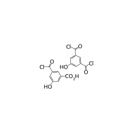 O=C(Cl)c1cc(O)cc(C(=O)Cl)c1.O=C(O)c1cc(O)cc(C(=O)Cl)c1